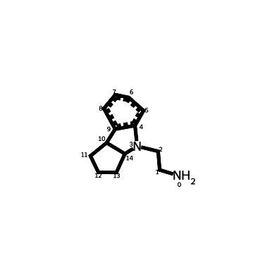 NCCN1c2ccccc2C2CCCC21